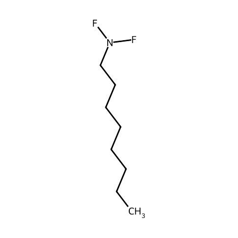 CCCCCCCCN(F)F